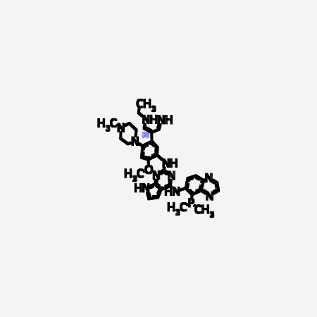 CCN/C=C(\C=N)c1cc(Nc2nc(Nc3ccc4nccnc4c3P(C)C)c3cc[nH]c3n2)c(OC)cc1N1CCN(C)CC1